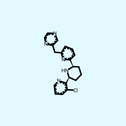 Clc1cccnc1[C@@H]1CCC[C@H](c2cccc(Cc3cnccn3)n2)N1